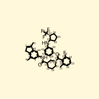 CC1=CCc2c(C)cc(NC(=O)C3CCCN(C(=O)c4c(C)cccc4F)[C@H]3c3ccc(NC4CCC[C@@H]4C(F)(F)F)cc3)cc21